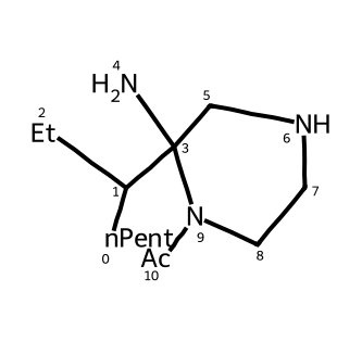 CCCCCC(CC)C1(N)CNCCN1C(C)=O